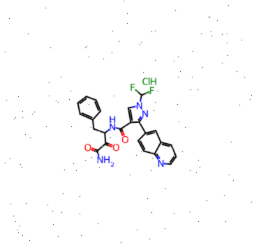 Cl.NC(=O)C(=O)C(Cc1ccccc1)NC(=O)c1cn(C(F)F)nc1-c1ccc2ncccc2c1